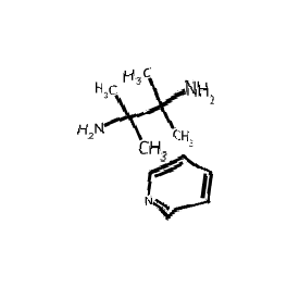 CC(C)(N)C(C)(C)N.c1ccncc1